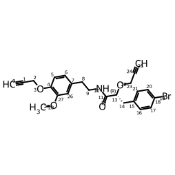 C#CCOc1ccc(CCNC(=O)[C@@H](Cc2ccc(Br)cc2)OCC#C)cc1OC